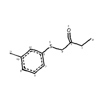 CCC(=O)CSc1cccc(C)c1